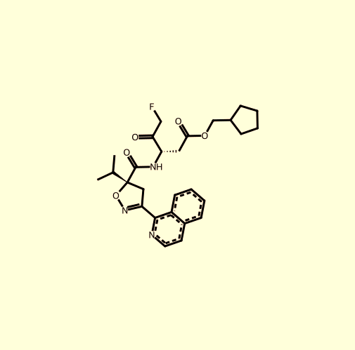 CC(C)[C@@]1(C(=O)N[C@@H](CC(=O)OCC2CCCC2)C(=O)CF)CC(c2nccc3ccccc23)=NO1